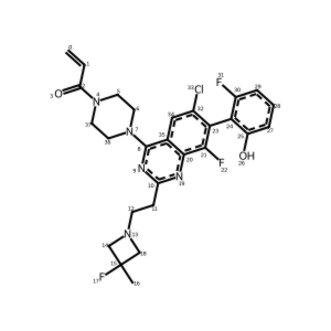 C=CC(=O)N1CCN(c2nc(CCN3CC(C)(F)C3)nc3c(F)c(-c4c(O)cccc4F)c(Cl)cc23)CC1